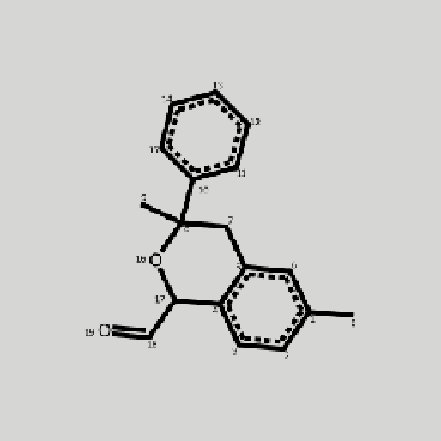 Cc1ccc2c(c1)CC(C)(c1ccccc1)OC2C=O